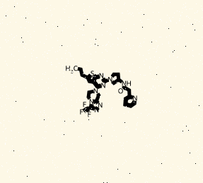 CCCc1cc2c(N3CCn4c(nnc4C(F)(F)F)C3)nc(N3CCC(NC(=O)Cc4ccccn4)C3)nc2s1